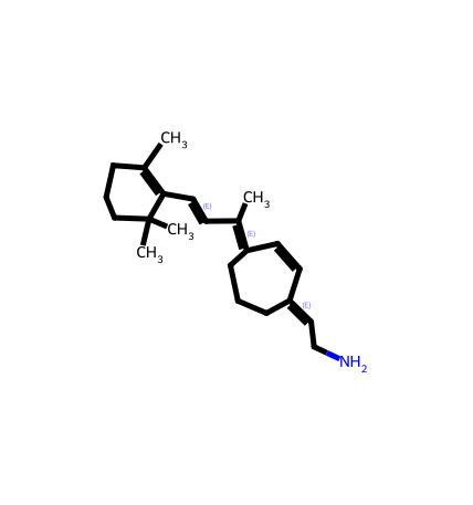 CC1=C(/C=C/C(C)=C2C=C/C(=C/CN)CCC/2)C(C)(C)CCC1